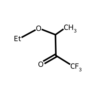 CCOC(C)C(=O)C(F)(F)F